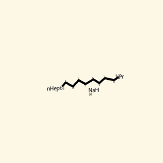 CCCCCCCCCCCCCC[CH]C(C)C.[NaH]